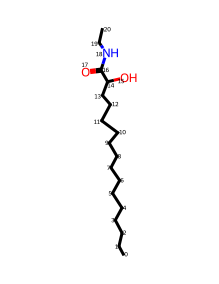 CCCCCCCCCCCCCCC(O)C(=O)NCC